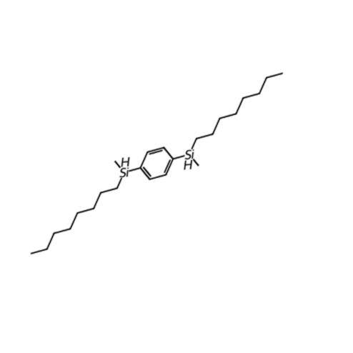 CCCCCCCC[SiH](C)c1ccc([SiH](C)CCCCCCCC)cc1